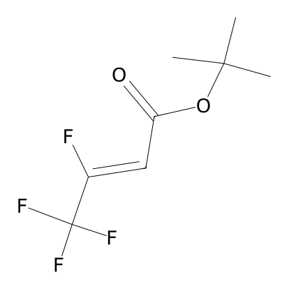 CC(C)(C)OC(=O)C=C(F)C(F)(F)F